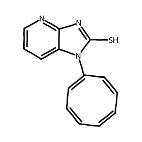 Sc1nc2ncccc2n1C1=C/C=C\C=C/C=C\1